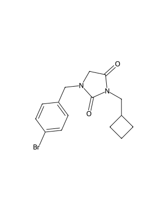 O=C1CN(Cc2ccc(Br)cc2)C(=O)N1CC1CCC1